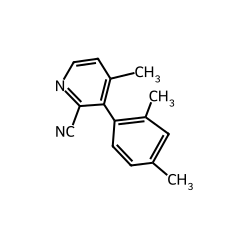 Cc1ccc(-c2c(C)ccnc2C#N)c(C)c1